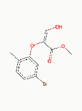 COC(=O)C(=CO)Oc1cc(Br)ccc1C